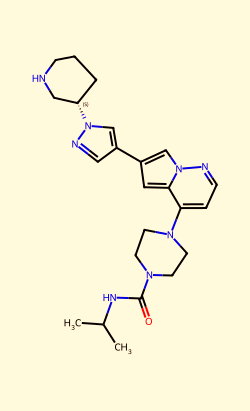 CC(C)NC(=O)N1CCN(c2ccnn3cc(-c4cnn([C@H]5CCCNC5)c4)cc23)CC1